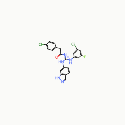 O=C(Cc1ccc(Cl)cc1)/N=C(/Nc1cc(F)cc(Cl)c1)Nc1ccc2cn[nH]c2c1